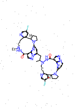 CCN1CCc2ncc(F)cc2[C@H]2CCCN2c2cc(CC(C)N3CCc4ncc(F)cc4[C@H]4CCCN4c4ccn5ncc(c5n4)C(=O)N3)n3ncc(c3n2)C(=O)N1